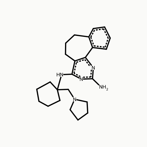 Nc1nc(NC2(CN3CCCC3)CCCCC2)c2c(n1)-c1ccccc1CCC2